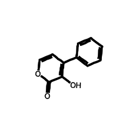 O=c1occc(-c2ccccc2)c1O